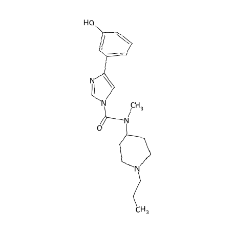 CCCN1CCC(N(C)C(=O)n2cnc(-c3cccc(O)c3)c2)CC1